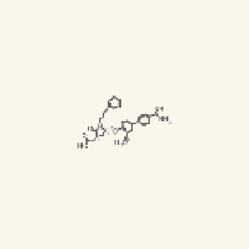 N=C(N)c1ccc(-c2ccc(OC[C@@H]3C[C@@H](CC(=O)O)C(=O)N3CCCc3ccccc3)c(Br)c2)cc1.O